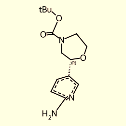 CC(C)(C)OC(=O)N1CCO[C@H](c2ccc(N)nc2)C1